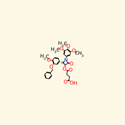 COc1ccc([C@H]2C(OC(=O)CCC(=O)O)C(=O)N2c2cc(OC)c(OC)c(OC)c2)cc1OCc1ccccc1